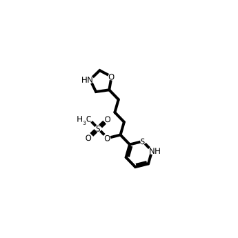 CS(=O)(=O)OC(CCCC1CNCO1)C1=CC=CNS1